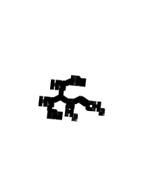 C=C[SiH2]C(NC(C)CC)NC(C)CC